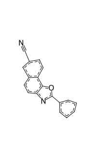 N#Cc1ccc2c(ccc3nc(-c4ccccc4)oc32)c1